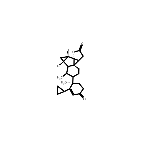 CC1C2[C@@H]3C[C@@H]3[C@@]34OC(=O)CC3[C@]24CCC1[C@@]1(C)CCC(=O)C=C1C1CC1